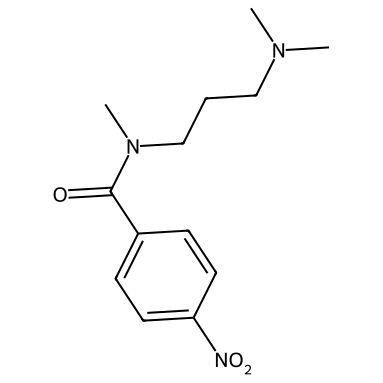 CN(C)CCCN(C)C(=O)c1ccc([N+](=O)[O-])cc1